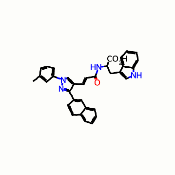 Cc1cccc(-n2cc(C=CC(=O)NC(Cc3c[nH]c4ccccc34)C(=O)O)c(-c3ccc4ccccc4c3)n2)c1